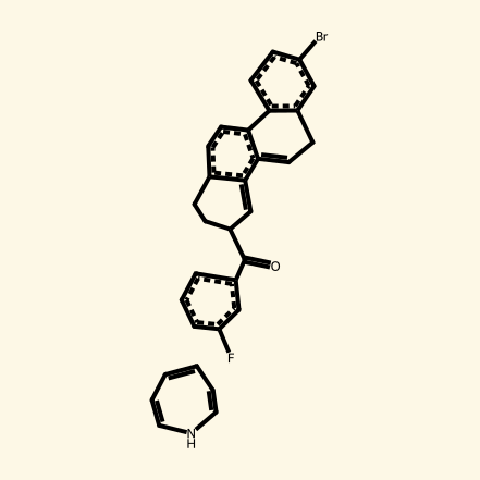 C1=CC=CNC=C1.O=C(c1cccc(F)c1)C1C=c2c(ccc3c2=CCc2cc(Br)ccc2-3)CC1